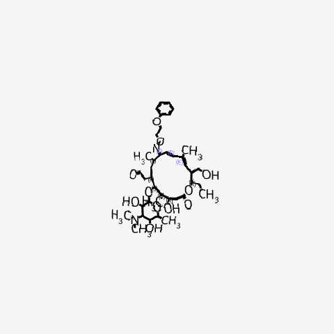 CC[C@H]1OC(=O)C[C@@H](O)[C@H](C)[C@@H](OC2OC(C)C(O)C(N(C)C)C2O)[C@@H](CC=O)C[C@@H](C)C(=N/OCCOc2ccccc2)/C=C/C(C)=C/C1CO